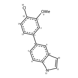 COc1cc(-c2ccc3c(c2)C=C[N]3)ccc1Cl